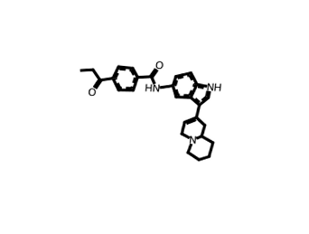 CCC(=O)c1ccc(C(=O)Nc2ccc3[nH]cc(C4=CCN5CCCCC5C4)c3c2)cc1